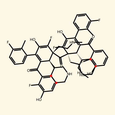 CNCC[C@]1(C(=O)[C@@]2(CCNC)C(F)=C(O)C(c3cccc(F)c3C)=C(C(=O)c3cccc(O)c3F)[C@@H]2C2CCCNC2)C(F)=C(O)C(c2cccc(F)c2C)=C(C(=O)c2cccc(O)c2F)[C@@H]1C1CCCNC1